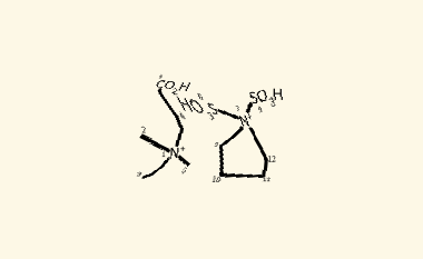 C[N+](C)(C)CC(=O)O.O=S(=O)(O)[N+]1(S(=O)(=O)O)CCCC1